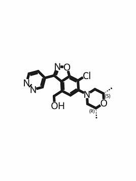 C[C@@H]1CN(c2cc(CO)c3c(-c4ccnnc4)noc3c2Cl)C[C@H](C)O1